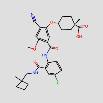 COc1cc(C#N)c(O[C@H]2CC[C@@](C)(C(=O)O)CC2)cc1C(=O)Nc1ccc(Cl)cc1C(=O)NCC1(C)CCC1